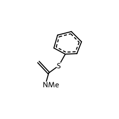 C=C(NC)Sc1ccccc1